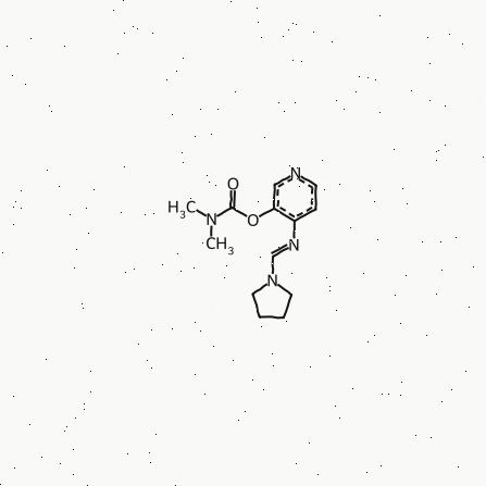 CN(C)C(=O)Oc1cnccc1N=CN1CCCC1